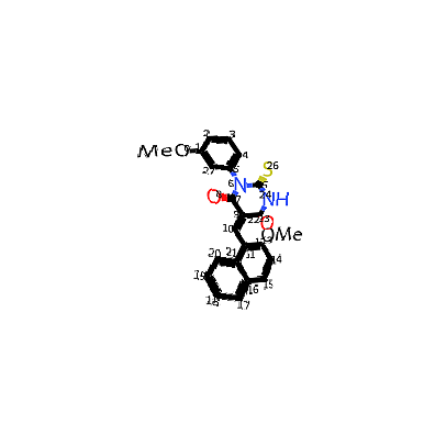 COc1cccc(N2C(=O)C(=Cc3c(OC)ccc4ccccc34)C(=O)NC2=S)c1